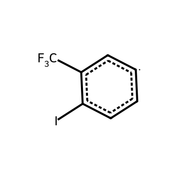 FC(F)(F)c1c[c]ccc1I